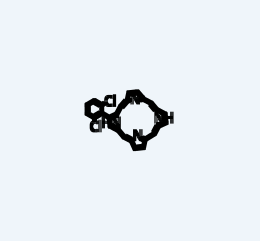 Clc1cccc(Cl)c1-c1cc2cc3nc(cc4ccc(cc5nc(cc1[nH]2)C=C5)[nH]4)C=C3